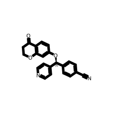 N#Cc1ccc([C@H](Oc2ccc3c(c2)OCCC3=O)c2ccncc2)cc1